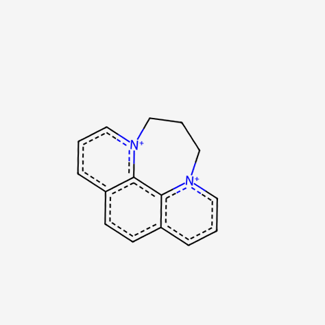 c1cc2ccc3ccc[n+]4c3c2[n+](c1)CCC4